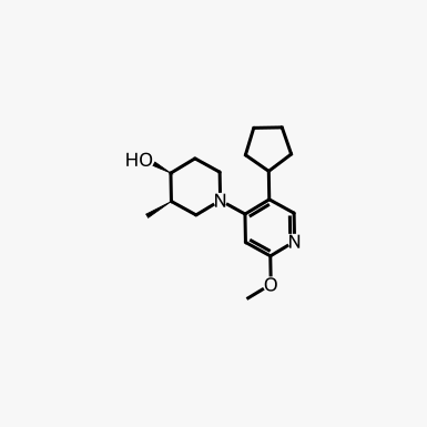 COc1cc(N2CC[C@H](O)[C@H](C)C2)c(C2CCCC2)cn1